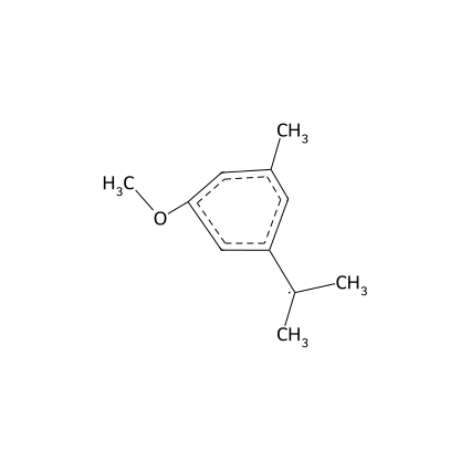 COc1cc(C)cc([C](C)C)c1